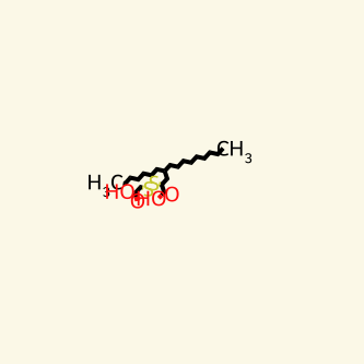 CCCCCCCCCC(CCCCCCC)CC(SSCC(=O)O)C(=O)O